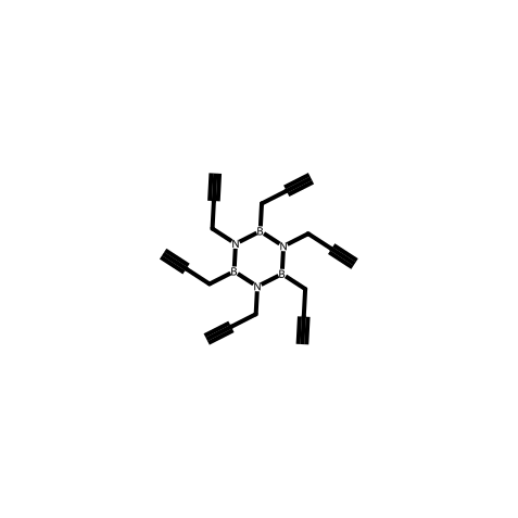 C#CCB1N(CC#C)B(CC#C)N(CC#C)B(CC#C)N1CC#C